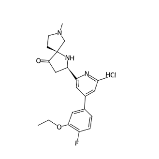 CCOc1cc(-c2cc(C)nc([C@H]3CC(=O)[C@@]4(CCN(C)C4)N3)c2)ccc1F.Cl